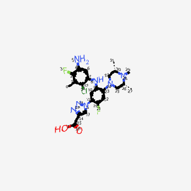 Cc1c(F)c(N)cc(Nc2cc(-n3cc(C(=O)O)nn3)c(F)cc2N2C[C@@H](C)N(C)[C@@H](C)C2)c1Cl